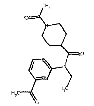 CCN(C(=O)C1CCN(C(C)=O)CC1)c1cccc(C(C)=O)c1